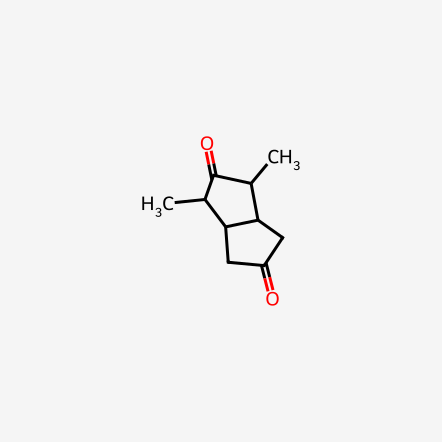 CC1C(=O)C(C)C2CC(=O)CC12